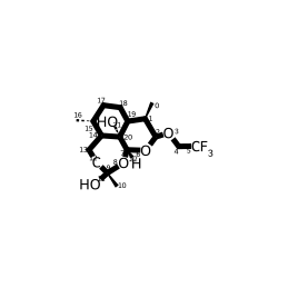 C[C@H]1C(OCC(F)(F)F)O[C@@H]2O[C@](C)(O)CCC3[C@H](C)CCC1[C@]32O